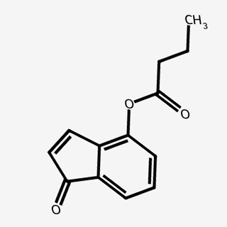 CCCC(=O)Oc1cccc2c1C=CC2=O